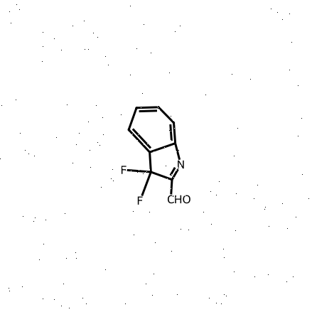 O=CC1=Nc2ccccc2C1(F)F